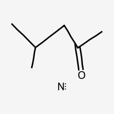 CC(=O)CC(C)C.[N]